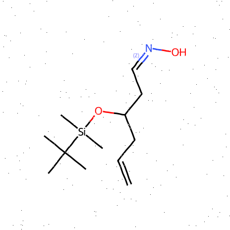 C=CCC(C/C=N\O)O[Si](C)(C)C(C)(C)C